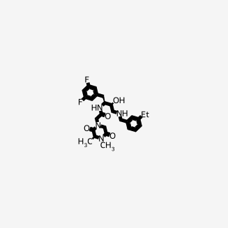 CCc1cccc(CNC[C@H](O)[C@H](Cc2cc(F)cc(F)c2)NC(=O)CN2CC(=O)N(C)[C@@H](C)C2=O)c1